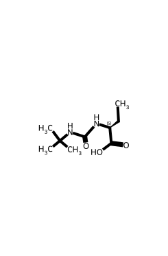 CC[C@H](NC(=O)NC(C)(C)C)C(=O)O